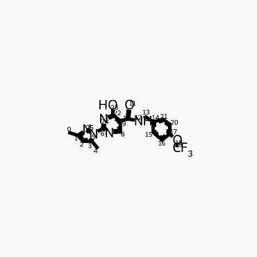 Cc1cc(C)n(-c2ncc(C(=O)NCc3ccc(OC(F)(F)F)cc3)c(O)n2)n1